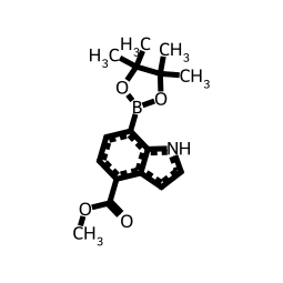 COC(=O)c1ccc(B2OC(C)(C)C(C)(C)O2)c2[nH]ccc12